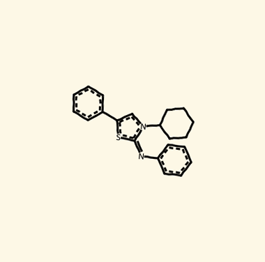 c1ccc(/N=c2/sc(-c3ccccc3)cn2C2CCCCC2)cc1